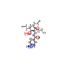 C=CCc1cc(CC=C)c(OCCC)c(/C=C/C(=O)c2ccc(NC)cc2)c1O